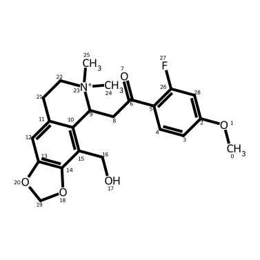 COc1ccc(C(=O)CC2c3c(cc4c(c3CO)OCO4)CC[N+]2(C)C)c(F)c1